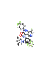 N#CN1C[C@H]2C[C@H]2[C@@H]1C(=O)N(c1ccc(S(F)(F)(F)(F)F)cc1)C(C(=O)NC1CCC(F)(F)CC1)c1cncc(F)c1